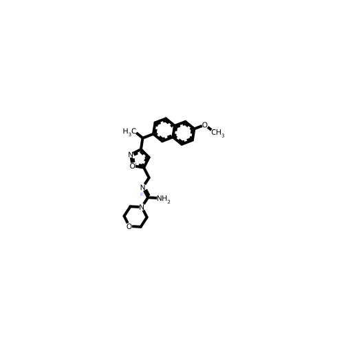 COc1ccc2cc(C(C)c3cc(C/N=C(\N)N4CCOCC4)on3)ccc2c1